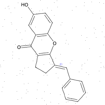 O=c1c2c(oc3ccc(O)cc13)/C(=C/c1ccccc1)CC2